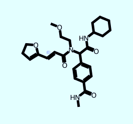 CNC(=O)c1ccc(C(C(=O)NC2CCCCC2)N(CCOC)C(=O)/C=C/C2=CCCO2)cc1